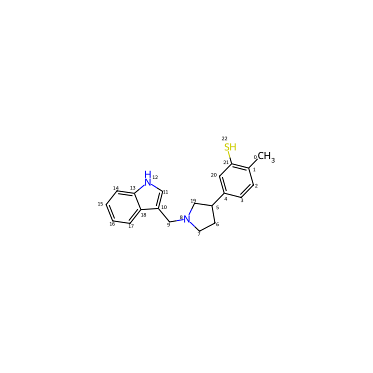 Cc1ccc(C2CCN(Cc3c[nH]c4ccccc34)C2)cc1S